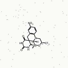 C[C@@H]1O[C@H](C(F)(F)F)CN2c3ccc([N+](=O)[O-])cc3CC3(C(=O)NC(=O)NC3=O)[C@@H]12